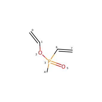 C=COP(C)(=O)C=C